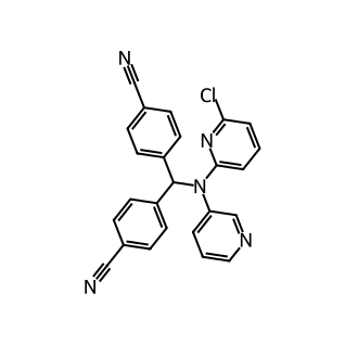 N#Cc1ccc(C(c2ccc(C#N)cc2)N(c2cccnc2)c2cccc(Cl)n2)cc1